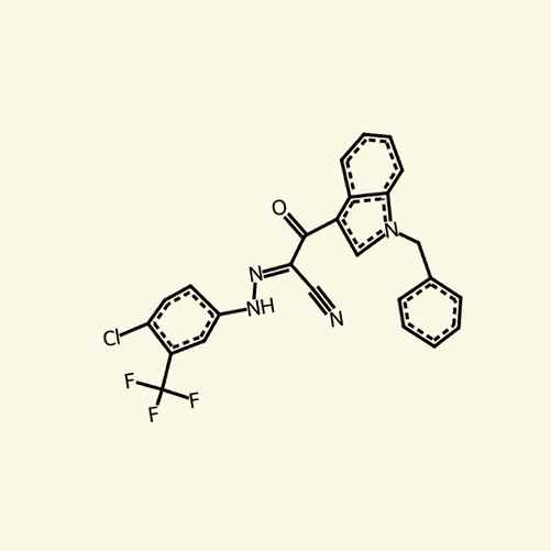 N#C/C(=N\Nc1ccc(Cl)c(C(F)(F)F)c1)C(=O)c1cn(Cc2ccccc2)c2ccccc12